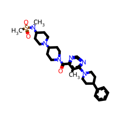 Cc1c(C(=O)N2CCC(N3CCC(N(C)S(C)(=O)=O)CC3)CC2)ncnc1N1CCC(c2ccccc2)CC1